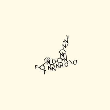 COc1cc(N2CCC(N3CCN(C4CC4)CC3)CC2)c(NC(=O)C=CCl)cc1Nc1cc(N2OCCC2c2cc(F)cc(F)c2)ncn1